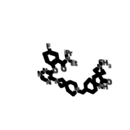 CCN(C(=O)c1cc(F)ccc1Oc1nncnc1N1CC2(CCN(CC3CCC4(CC3)CC3(CN(C)C3)C(=O)N4)CC2)C1)C(C)C